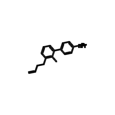 C=CCCc1cccc(-c2ccc(CCC)cc2)c1C